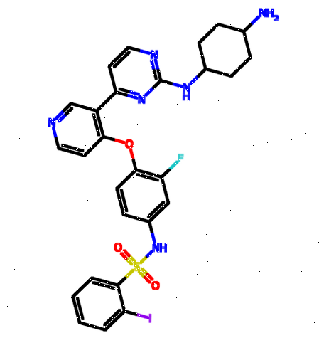 NC1CCC(Nc2nccc(-c3cnccc3Oc3ccc(NS(=O)(=O)c4ccccc4I)cc3F)n2)CC1